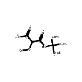 CCCCCCCCC(CCCCC)(CCCCCCCC)NC(=O)C(OCC)C(N)=O